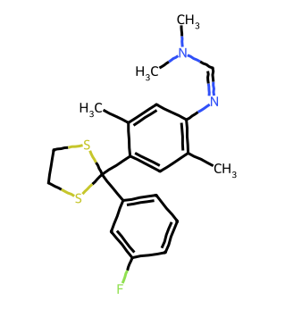 Cc1cc(C2(c3cccc(F)c3)SCCS2)c(C)cc1/N=C\N(C)C